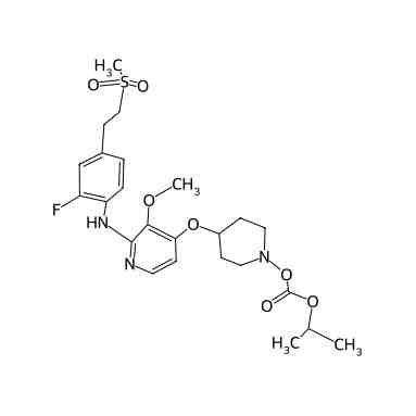 COc1c(OC2CCN(OC(=O)OC(C)C)CC2)ccnc1Nc1ccc(CCS(C)(=O)=O)cc1F